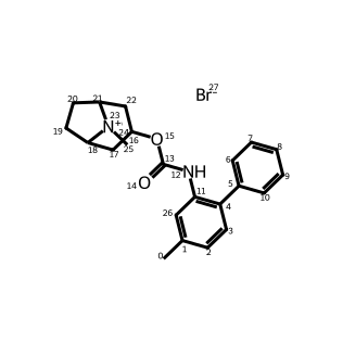 Cc1ccc(-c2ccccc2)c(NC(=O)OC2CC3CCC(C2)[N+]3(C)C)c1.[Br-]